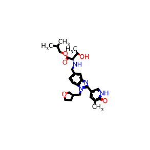 Cc1cc(-c2nc3cc(CN[C@H](C(=O)OCC(C)C)[C@@H](C)O)ccc3n2CC2CCOC2)c[nH]c1=O